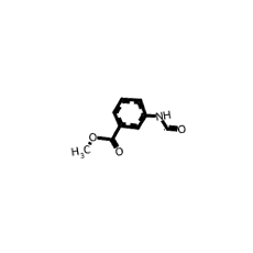 COC(=O)c1cccc(N[C]=O)c1